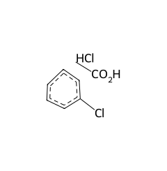 CC(=O)O.Cl.Clc1ccccc1